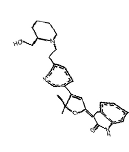 CC1(C)OC(=C2C(=O)Nc3cc(F)ccc32)C=C1c1ccc(CCN2CCCCC2CO)nc1